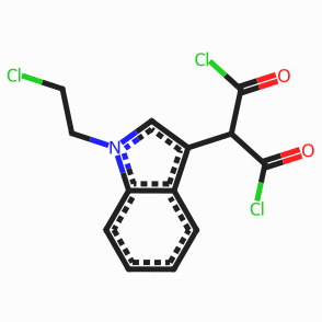 O=C(Cl)C(C(=O)Cl)c1cn(CCCl)c2ccccc12